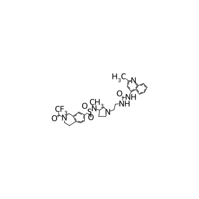 Cc1cc(NC(=O)NCCN2CCC(N(C)S(=O)(=O)c3ccc4c(c3)CN(C(=O)C(F)(F)F)CC4)C2)c2ccccc2n1